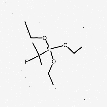 CCO[Si](OCC)(OCC)C(C)(C)F